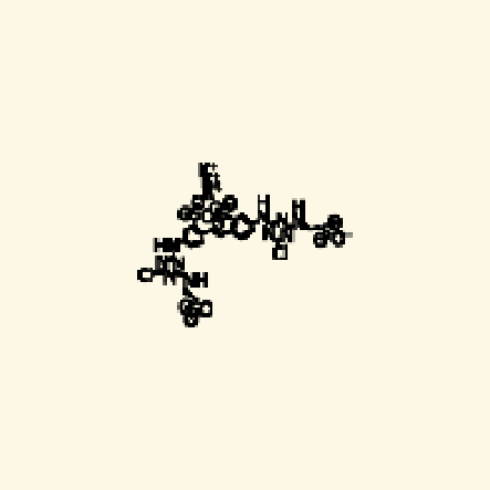 O=S(=O)([O-])CCNc1nc(Cl)nc(Nc2ccc(C=Cc3ccc(Nc4nc(Cl)nc(NCCS(=O)(=O)[O-])n4)cc3S(=O)(=O)[O-])c(S(=O)(=O)[O-])c2)n1.[K+].[K+].[K+].[K+]